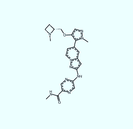 CNC(=O)c1cnc(Nc2cc3cc(-c4c(OC[C@H]5CCN5C)cnn4C)ccn3n2)cn1